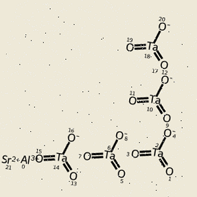 [Al+3].[O]=[Ta](=[O])[O-].[O]=[Ta](=[O])[O-].[O]=[Ta](=[O])[O-].[O]=[Ta](=[O])[O-].[O]=[Ta](=[O])[O-].[Sr+2]